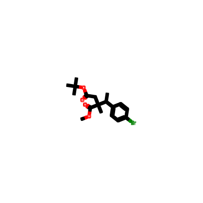 COC(=O)C(C)(CC(=O)OC(C)(C)C)C(C)c1ccc(Br)cc1